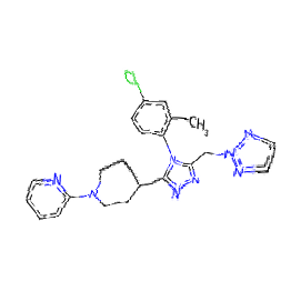 Cc1cc(Cl)ccc1-n1c(Cn2nccn2)nnc1C1CCN(c2ccccn2)CC1